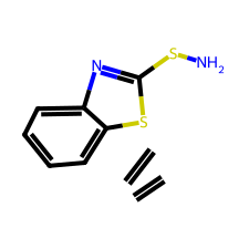 C=C.C=C.NSc1nc2ccccc2s1